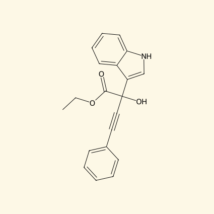 CCOC(=O)C(O)(C#Cc1ccccc1)c1c[nH]c2ccccc12